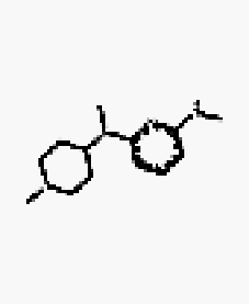 CNc1cccc(N(C)C2CCN(C)CC2)n1